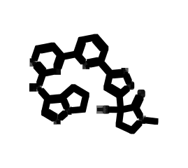 CN1CCC(O)(c2cc(-c3cccc(-c4ccnc(Nc5cnn6c5CCC6)n4)n3)no2)C1=O